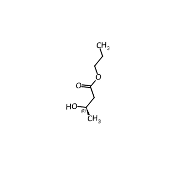 CCCOC(=O)C[C@@H](C)O